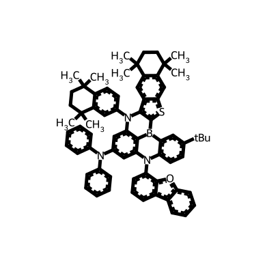 CC(C)(C)c1ccc2c(c1)B1c3sc4cc5c(cc4c3N(c3ccc4c(c3)C(C)(C)CCC4(C)C)c3cc(N(c4ccccc4)c4ccccc4)cc(c31)N2c1cccc2c1oc1ccccc12)C(C)(C)CCC5(C)C